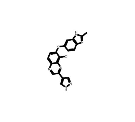 Cc1nc2ccc(Oc3ccc4ncc(-c5cn[nH]c5)nc4c3Cl)cc2[nH]1